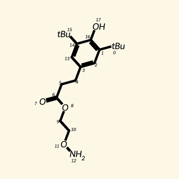 CC(C)(C)c1cc(CCC(=O)OCCON)cc(C(C)(C)C)c1O